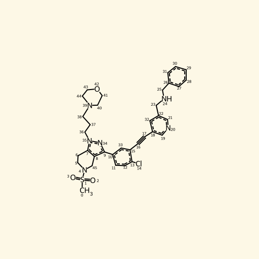 CS(=O)(=O)N1CCc2c(c(-c3ccc(Cl)c(C#Cc4cncc(CNCc5ccccc5)c4)c3)nn2CCCN2CCOCC2)C1